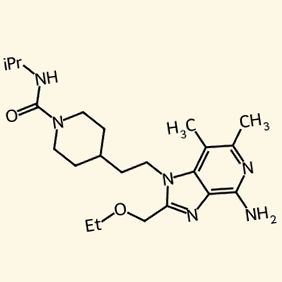 CCOCc1nc2c(N)nc(C)c(C)c2n1CCC1CCN(C(=O)NC(C)C)CC1